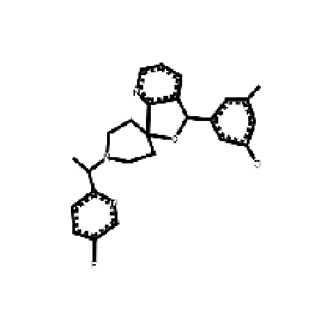 Cc1cc(Cl)cc(C2OC3(CCN(C(C)c4ccc(F)cn4)CC3)c3ncccc32)c1